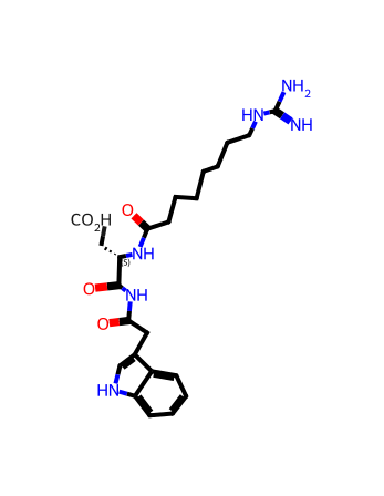 N=C(N)NCCCCCCCC(=O)N[C@@H](CC(=O)O)C(=O)NC(=O)Cc1c[nH]c2ccccc12